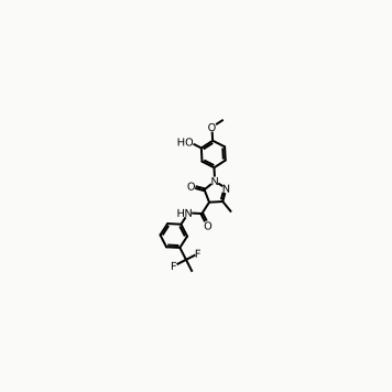 COc1ccc(N2N=C(C)C(C(=O)Nc3cccc(C(C)(F)F)c3)C2=O)cc1O